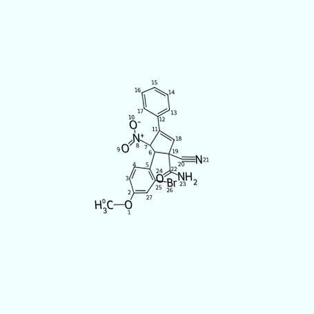 COc1ccc(C2C([N+](=O)[O-])C(c3ccccc3)=CC2(C#N)C(N)=O)c(Br)c1